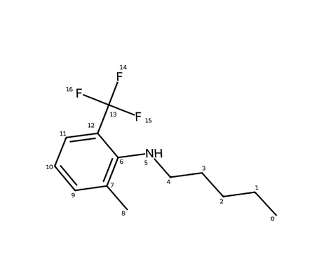 CCCCCNc1c(C)cccc1C(F)(F)F